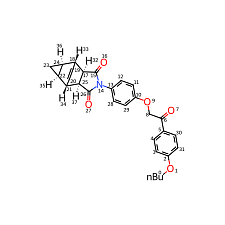 CCCCOc1ccc(C(=O)COc2ccc(N3C(=O)[C@@H]4[C@@H]5C=C[C@@H]([C@H]6C[C@@H]56)[C@@H]4C3=O)cc2)cc1